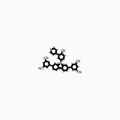 N#Cc1cc(C#N)cc(-c2ccc3c4ccc(-c5cc(C#N)cc(C#N)c5)cc4n(-c4ccc(C#N)c(-c5ccncc5)c4)c3c2)c1